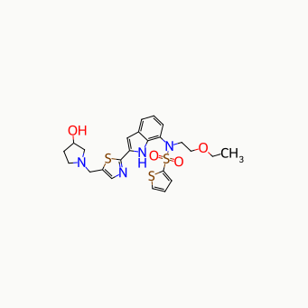 CCOCCN(c1cccc2cc(-c3ncc(CN4CCC(O)C4)s3)[nH]c12)S(=O)(=O)c1cccs1